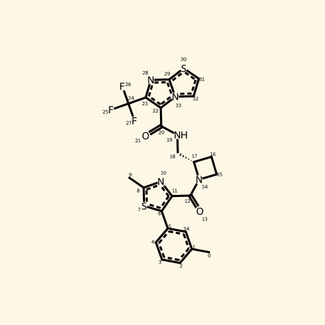 Cc1cccc(-c2sc(C)nc2C(=O)N2CC[C@H]2CNC(=O)c2c(C(F)(F)F)nc3sccn23)c1